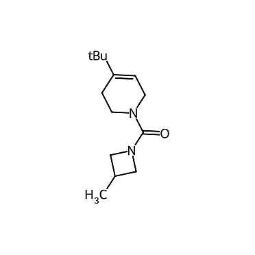 CC1CN(C(=O)N2CC=C(C(C)(C)C)CC2)C1